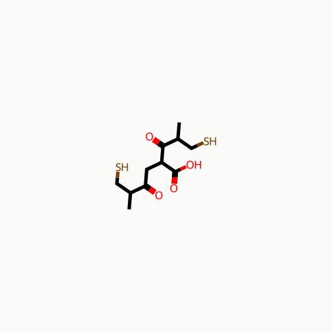 CC(CS)C(=O)CC(C(=O)O)C(=O)C(C)CS